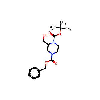 CC(C)(C)OC(=O)N1CCN(C(=O)OCc2ccccc2)CC1CO